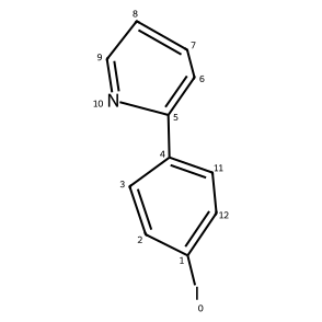 Ic1ccc(-c2ccccn2)cc1